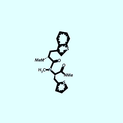 CNC(=O)[C@@H](Cc1cccs1)N(C)C(=O)[C@@H](Cc1csc2ccccc12)NC